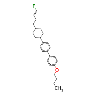 CCCCOc1ccc(-c2ccc(C3CCC(CCC=CF)CC3)cc2)cc1